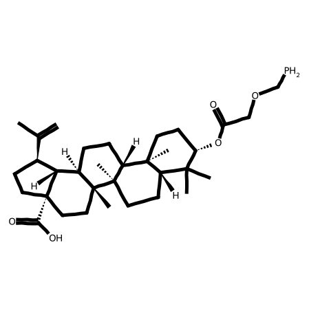 C=C(C)[C@@H]1CC[C@]2(C(=O)O)CC[C@]3(C)[C@H](CC[C@@H]4[C@@]5(C)CC[C@H](OC(=O)COCP)C(C)(C)[C@@H]5CC[C@]43C)[C@@H]12